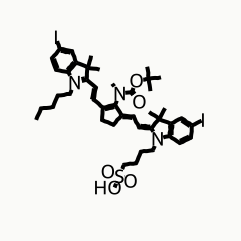 CCCCC[N+]1=C(/C=C/C2=C(N(C)C(=O)OC(C)(C)C)C(=C/C=C3/N(CCCCS(=O)(=O)O)c4ccc(I)cc4C3(C)C)/CC2)C(C)(C)c2cc(I)ccc21